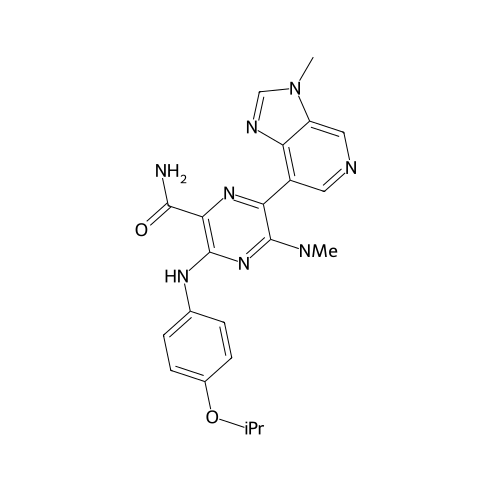 CNc1nc(Nc2ccc(OC(C)C)cc2)c(C(N)=O)nc1-c1cncc2c1ncn2C